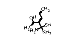 C=C/C=C(\C(=C)O)C(N)(N)S